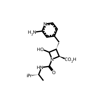 CC(C)[C@@H](C)NC(=O)N1C(O)[C@H](Cc2ccnc(N)c2)[C@H]1C(=O)O